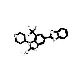 Cc1nc2cc(-c3nc4ccccc4o3)cc(C(F)(F)F)c2n1C1CCOCC1